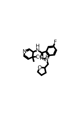 CC1(C(=O)O)C=CN=CC1Nc1nn(CC2CCCO2)c2ccc(F)cc12